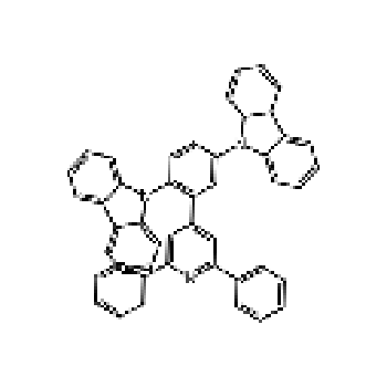 C1=CCC(c2cc(-c3cc(N4c5ccccc5C5C=CC=CC54)ccc3-n3c4ccccc4c4ccccc43)cc(-c3ccccc3)n2)C=C1